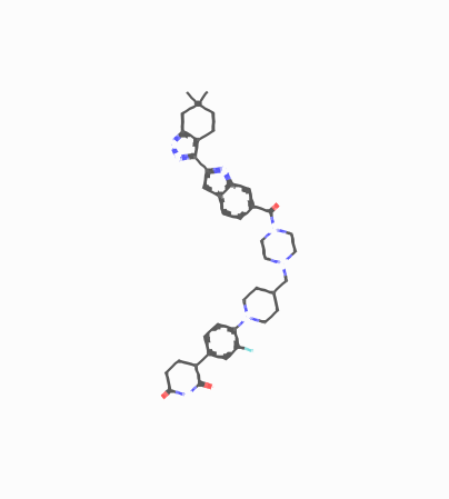 CC1(C)CCc2c(-c3cc4ccc(C(=O)N5CCN(CC6CCN(c7ccc(C8CCC(=O)NC8=O)cc7F)CC6)CC5)cc4[nH]3)n[nH]c2C1